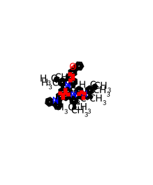 CC1=CC(C)c2cc(C(C)(C)C)ccc2N1c1ccc2c(c1)N(c1c(-c3ccccc3)cc(C(C)(C)C)cc1-c1ccccc1)c1cc(-c3ccc4c(c3)c3cccc5c6ccccc6n4c53)cc3c1B2c1ccc(-c2ccc4oc5ccccc5c4c2)cc1N3c1c(-c2ccccc2)cc(C(C)(C)C)cc1-c1ccccc1